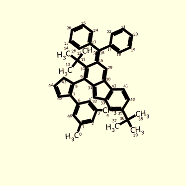 Cc1cc(C)cc(C2=C(c3c(C(C)(C)C)c(=C(c4ccccc4)c4ccccc4)cc4c3=[C]c3cc(C(C)(C)C)ccc3-4)CC=C2)c1